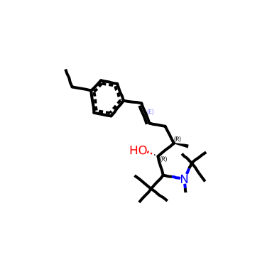 CCc1ccc(/C=C/C[C@@H](C)[C@@H](O)C(N(C)C(C)(C)C)C(C)(C)C)cc1